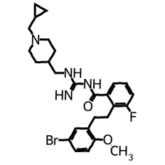 COc1ccc(Br)cc1CCc1c(F)cccc1C(=O)NC(=N)NCC1CCN(CC2CC2)CC1